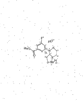 COC(=O)c1cc(F)cc(N2CCC[C@H]3NCC[C@H]32)c1.Cl